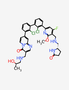 COc1nc(-c2cccc(-c3cccc(-c4ccn5c(=O)c(CNC[C@@H](C)O)cnc5c4)c3Cl)c2Cl)cc(F)c1CNC[C@@H]1CCC(=O)N1